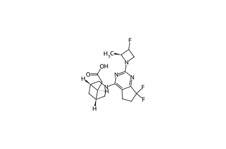 C[C@H]1C(F)CN1c1nc(N2C[C@H]3C[C@@H](C2)[C@@H]3CC(=O)O)c2c(n1)C(F)(F)CC2